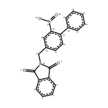 O=C1c2ccccc2C(=O)N1Cc1ccc(-c2ccccc2)c([N+](=O)[O-])c1